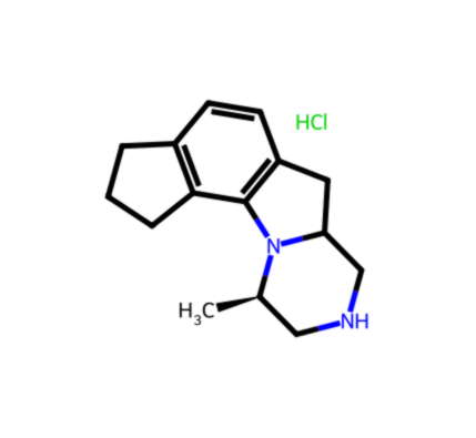 C[C@@H]1CNCC2Cc3ccc4c(c3N21)CCC4.Cl